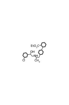 CCOC(=O)c1ccccc1-c1ccc(CC(C)NCC(O)c2cccc(Cl)c2)cc1